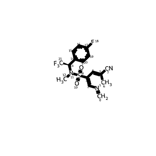 C=N/C=C(\C=C(/C)C#N)S(=O)(=O)N(C)[C@H](c1ccc(F)cc1)C(F)(F)F